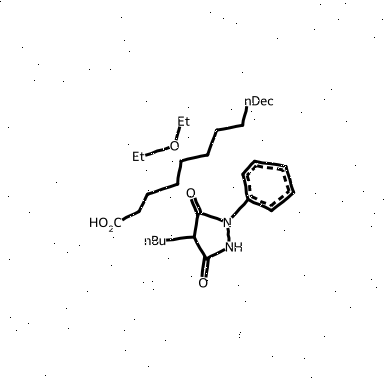 CCCCC1C(=O)NN(c2ccccc2)C1=O.CCCCCCCCCCCCCCCCCC(=O)O.CCOCC